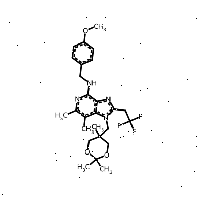 COc1ccc(CNc2nc(C)c(C)c3c2nc(CC(F)(F)F)n3CC2(C)COC(C)(C)OC2)cc1